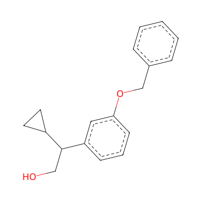 OCC(c1cccc(OCc2ccccc2)c1)C1CC1